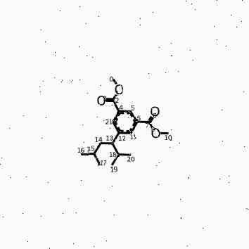 COC(=O)c1cc(C(=O)OC)cc(C(CC(C)C)C(C)C)c1